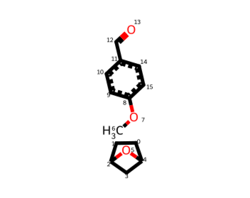 C1CC2CC1O2.COc1ccc(C=O)cc1